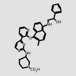 Cc1ccc2c(NCC(O)c3ccccc3)cccc2c1Oc1ncccc1-c1ccnc(NC2CCCN(C(=O)O)C2)n1